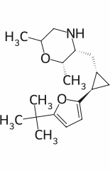 CC1CN[C@H](C[C@@H]2C[C@H]2c2ccc(C(C)(C)C)o2)[C@H](C)O1